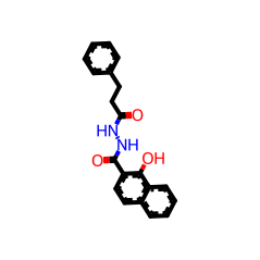 O=C(CCc1ccccc1)NNC(=O)c1ccc2ccccc2c1O